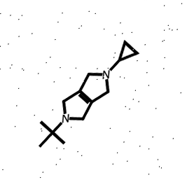 CC(C)(C)N1CC2=C(CN(C3CC3)C2)C1